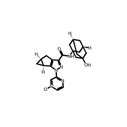 O=C(N[C@@]12C[C@@H]3C[C@@H](CC(O)(C3)C1)C2)c1nn(-c2c[n+]([O-])ccn2)c2c1C[C@@H]1C[C@H]21